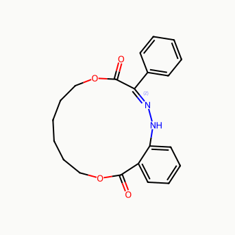 O=C1OCCCCCCOC(=O)c2ccccc2N/N=C\1c1ccccc1